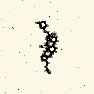 Cc1ccnc(SCC(=O)C2(O)CCC3C4CCC5=Cc6c(cnn6CCC#N)CC5(C)C4[C@@H](O)CC32C)n1